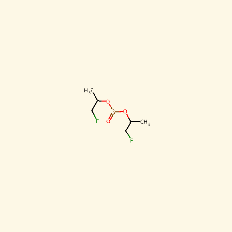 CC(CF)OS(=O)OC(C)CF